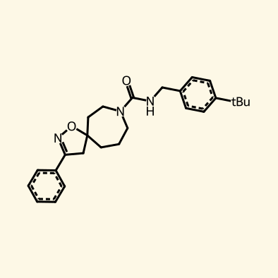 CC(C)(C)c1ccc(CNC(=O)N2CCCC3(CC2)CC(c2ccccc2)=NO3)cc1